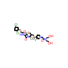 O=C(CSc1cc(Cl)ccc1Cl)N[C@H]1C(=O)N2C(C(=O)O)=C(CSc3cc[n+](CC(=O)N(CCO)CCO)cc3)CS[C@H]12